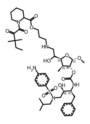 CCC(C)(C)C(=O)C(=O)N1CCCCC1C(=O)OCCCNCC(O)[C@H]1O[C@H](OC)[C@H](OC(=O)N[C@@H](Cc2ccccc2)[C@H](O)CN(CC(C)C)S(=O)(=O)c2ccc(N)cc2)[C@H]1C